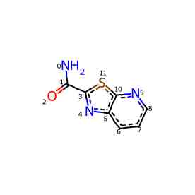 NC(=O)c1nc2cccnc2s1